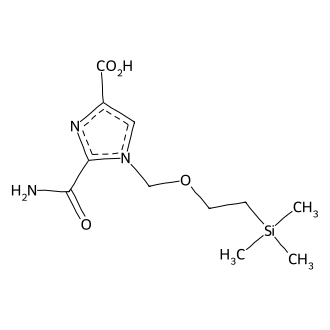 C[Si](C)(C)CCOCn1cc(C(=O)O)nc1C(N)=O